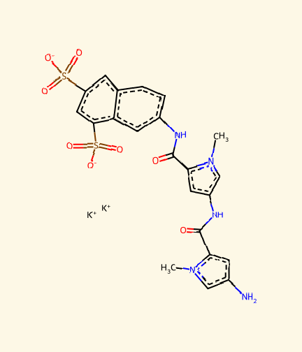 Cn1cc(N)cc1C(=O)Nc1cc(C(=O)Nc2ccc3cc(S(=O)(=O)[O-])cc(S(=O)(=O)[O-])c3c2)n(C)c1.[K+].[K+]